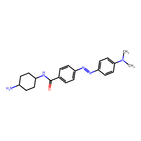 CN(C)c1ccc(/N=N/c2ccc(C(=O)NC3CCC(N)CC3)cc2)cc1